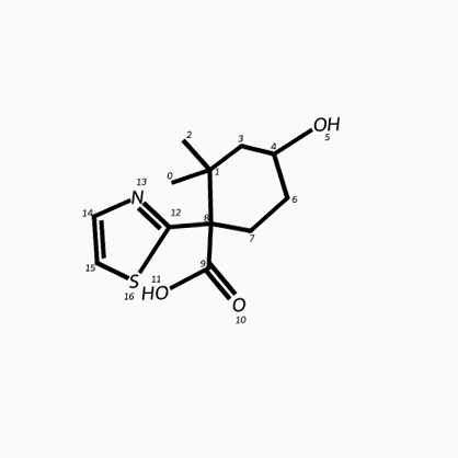 CC1(C)CC(O)CCC1(C(=O)O)c1nccs1